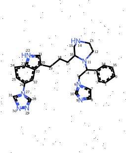 c1ccc(C(Cn2ccnc2)N2CCNCC2CCCc2c[nH]c3ccc(-n4cnnc4)cc23)cc1